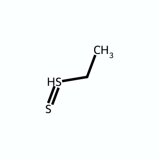 CC[SH]=S